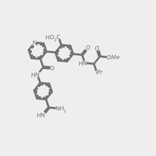 COC(=O)C(NC(=O)c1ccc(-c2cnccc2C(=O)Nc2ccc(C(=N)N)cc2)c(C(=O)O)c1)C(C)C